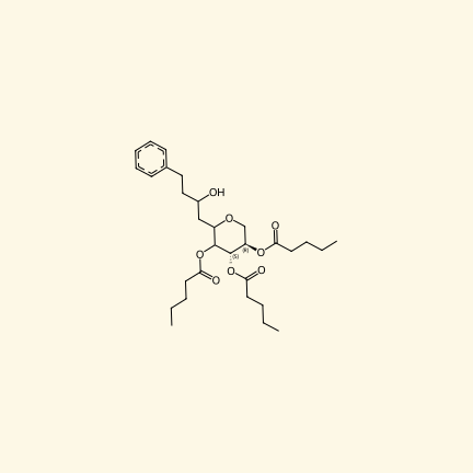 CCCCC(=O)OC1C(CC(O)CCc2ccccc2)OC[C@@H](OC(=O)CCCC)[C@@H]1OC(=O)CCCC